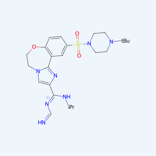 CC(C)N/C(=N\C=N)c1cn2c(n1)-c1cc(S(=O)(=O)N3CCN(C(C)(C)C)CC3)ccc1OCC2